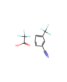 N#Cc1cccc(C(F)(F)F)c1.O=C(O)C(F)(F)F